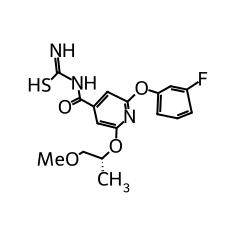 COC[C@@H](C)Oc1cc(C(=O)NC(=N)S)cc(Oc2cccc(F)c2)n1